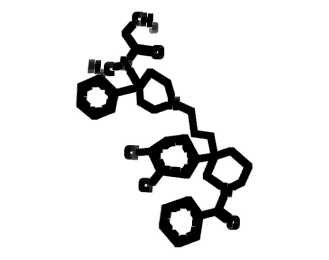 CCC(=O)N(C)C1(c2ccccc2)CCN(CCCC2(c3ccc(Cl)c(Cl)c3)CCCN(C(=O)c3ccccc3)C2)CC1